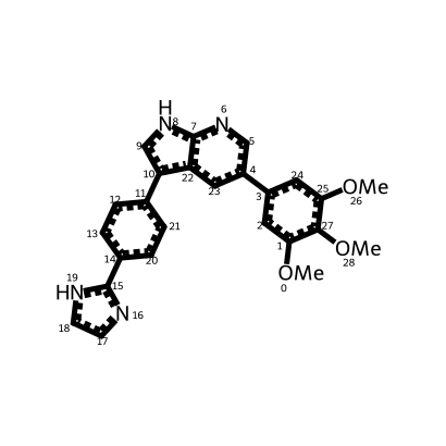 COc1cc(-c2cnc3[nH]cc(-c4ccc(-c5ncc[nH]5)cc4)c3c2)cc(OC)c1OC